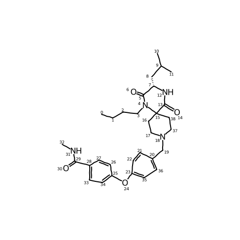 CCCCN1C(=O)[C@H](CC(C)C)NC(=O)C12CCN(Cc1ccc(Oc3ccc(C(=O)NC)cc3)cc1)CC2